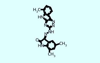 Cc1cc(C)c2c(c1)/C(=N\Nc1nnc3c(n1)[nH]c1c(C)cccc13)C(=O)N2